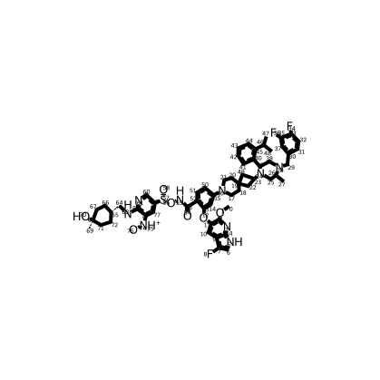 COc1nc2[nH]cc(F)c2cc1Oc1cc(N2CCC3(CC2)CC(N2CC(C)N(Cc4ccc(F)c(F)c4)CC2c2ccccc2C(C)C)C3)ccc1C(=O)NOS(=O)c1cnc(NC[C@H]2CC[C@](C)(O)CC2)c([NH+](C)[O-])c1